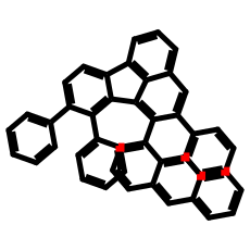 c1ccc(-c2ccc3c(c2-c2ccccc2)-c2c(-c4cccc5cc6ccccc6cc45)c(-c4ccccc4)cc4cccc-3c24)cc1